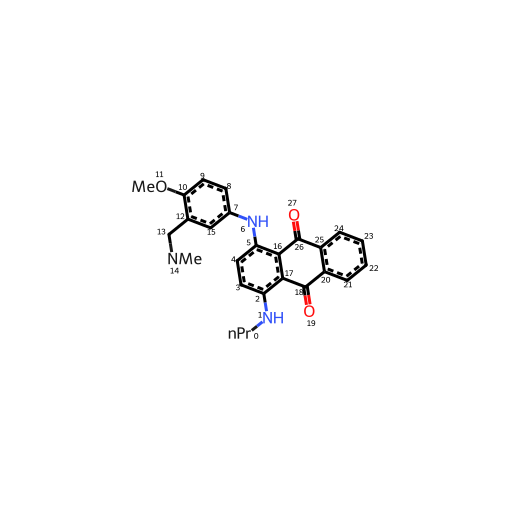 CCCNc1ccc(Nc2ccc(OC)c(CNC)c2)c2c1C(=O)c1ccccc1C2=O